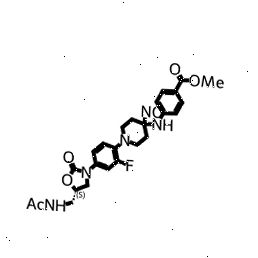 [C-]#[N+]C1(Nc2ccc(C(=O)OC)cc2)CCN(c2ccc(N3C[C@H](CNC(C)=O)OC3=O)cc2F)CC1